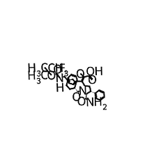 CC(C)(C)OC(=O)N[C@H](CF)[C@H]1CC[C@H](C(=O)N2C(c3c(C(=O)O)oc4ccccc34)C[C@H](c3ccccc3)[C@H]2C(N)=O)CC1